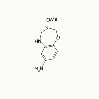 CO[C@H]1CNc2cc(N)ccc2OC1